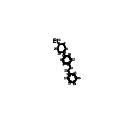 CCC1CCC(c2ccc(CCc3ccccc3)cc2)CC1